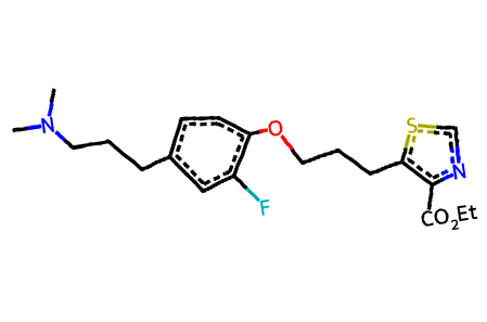 CCOC(=O)c1ncsc1CCCOc1ccc(CCCN(C)C)cc1F